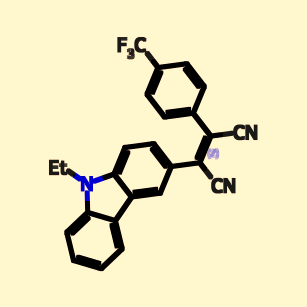 CCn1c2ccccc2c2cc(/C(C#N)=C(/C#N)c3ccc(C(F)(F)F)cc3)ccc21